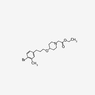 CCOC(=O)CN1CCC(OCCCc2ccc(Br)c(C)c2)CC1